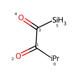 CC(C)C(=O)C(=O)[SiH3]